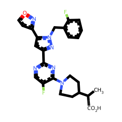 CC(C(=O)O)C1CCN(c2nc(-c3cc(-c4ccon4)n(Cc4ccccc4F)n3)ncc2F)CC1